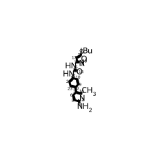 Cc1nc(N)ccc1-c1ccc(NC(=O)Nc2cc(C(C)(C)C)on2)cc1